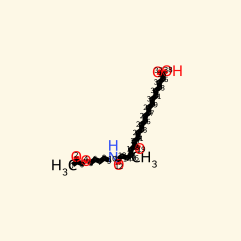 CC(=O)COCCCCCNC(=O)CC[C@@H](C)CC(=O)CCCCCCCCCCCCCCCCC(=O)O